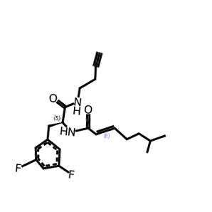 C#CCCNC(=O)[C@H](Cc1cc(F)cc(F)c1)NC(=O)/C=C/CCC(C)C